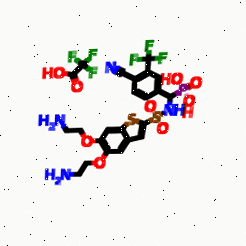 N#Cc1ccc(C(NS(=O)(=O)c2cc3cc(OCCN)c(OCCN)cc3s2)P(=O)(O)O)cc1C(F)(F)F.O=C(O)C(F)(F)F